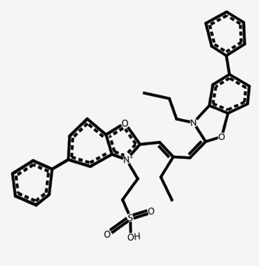 CCCN1C(=CC(=Cc2oc3ccc(-c4ccccc4)cc3[n+]2CCS(=O)(=O)O)CC)Oc2ccc(-c3ccccc3)cc21